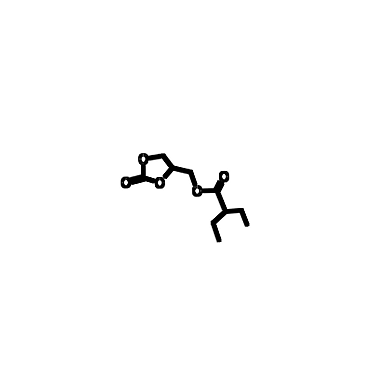 CCC(CC)C(=O)OCC1COC(=O)O1